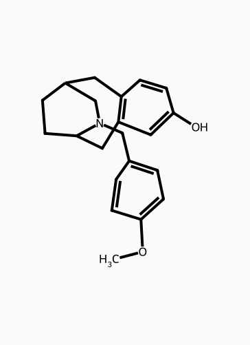 COc1ccc(CN2CC3CCC2Cc2cc(O)ccc2C3)cc1